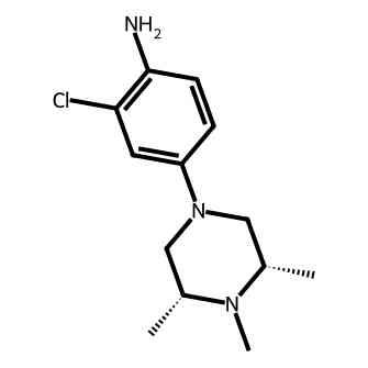 C[C@@H]1CN(c2ccc(N)c(Cl)c2)C[C@H](C)N1C